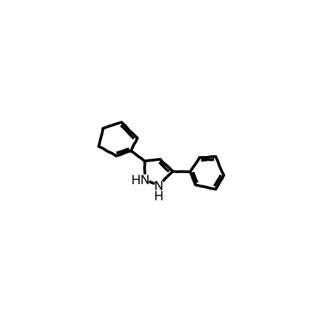 C1=CC(C2C=C(c3ccccc3)NN2)=CCC1